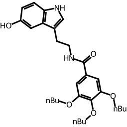 CCCCOc1cc(C(=O)NCCc2c[nH]c3ccc(O)cc23)cc(OCCCC)c1OCCCC